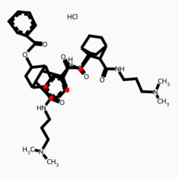 CN(C)CCCNC(=O)C1C2CCC(C(OC(=O)c3ccccc3)C2)C1C(=O)NC(=O)C1C2CCC(CC2OC(=O)c2ccccc2)C1C(=O)NCCCN(C)C.Cl